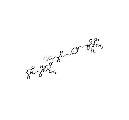 CC(COCC(C)(C)CNC(=O)CCN1C(=O)C=CC1=O)CC(=O)NCCCN1CCN(CCCNC(=O)C(C)(C)C)CC1